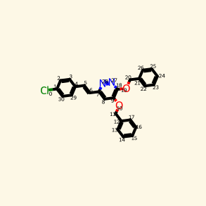 Clc1ccc(C=Cc2cc(OCc3ccccc3)c(OCc3ccccc3)nn2)cc1